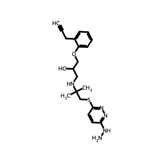 C#CCc1ccccc1OCC(O)CNC(C)(C)CSc1ccc(NN)nn1